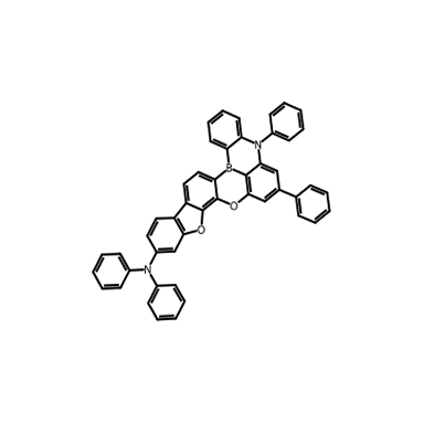 c1ccc(-c2cc3c4c(c2)N(c2ccccc2)c2ccccc2B4c2ccc4c(oc5cc(N(c6ccccc6)c6ccccc6)ccc54)c2O3)cc1